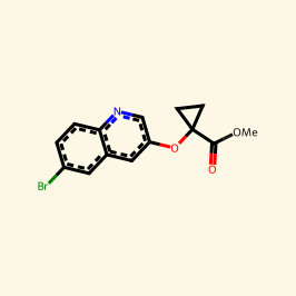 COC(=O)C1(Oc2cnc3ccc(Br)cc3c2)CC1